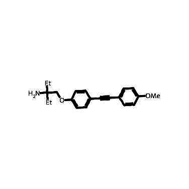 CCC(N)(CC)COc1ccc(C#Cc2ccc(OC)cc2)cc1